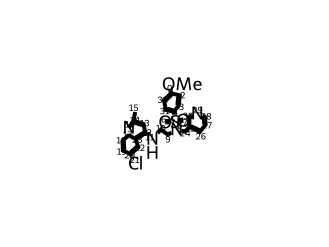 COc1ccc(S(=O)(=O)N(CCNc2cc(C)nc3ccc(Cl)cc23)Cc2cccnc2)cc1